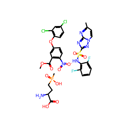 COC(=O)c1cc(Oc2ccc(Cl)cc2Cl)ccc1[N+](=O)[O-].CP(=O)(O)CCC(N)C(=O)O.Cc1ccn2nc(S(=O)(=O)Nc3c(F)cccc3F)nc2n1